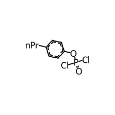 CCCc1ccc(OP(=O)(Cl)Cl)cc1